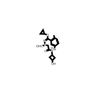 Cc1ccc(Br)cc1/C(=N\N(C=O)CC(=O)NC1CC(O)C1)OC1CC1